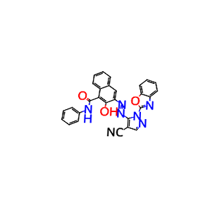 N#Cc1cnn(-c2nc3ccccc3o2)c1/N=N/c1cc2ccccc2c(C(=O)Nc2ccccc2)c1O